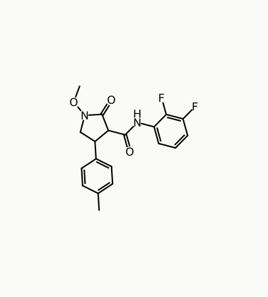 CON1CC(c2ccc(C)cc2)C(C(=O)Nc2cccc(F)c2F)C1=O